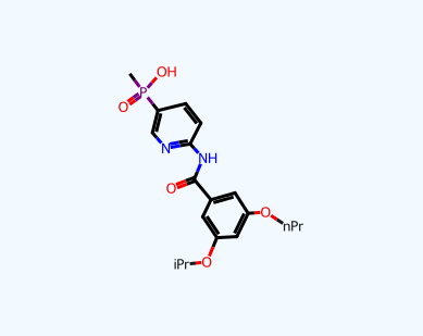 CCCOc1cc(OC(C)C)cc(C(=O)Nc2ccc(P(C)(=O)O)cn2)c1